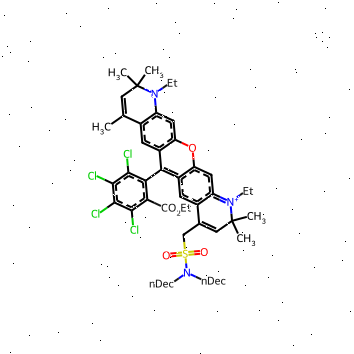 CCCCCCCCCCN(CCCCCCCCCC)S(=O)(=O)CC1=CC(C)(C)[N+](CC)=c2cc3c(cc21)=C(c1c(Cl)c(Cl)c(Cl)c(Cl)c1C(=O)OCC)c1cc2c(cc1O3)N(CC)C(C)(C)C=C2C